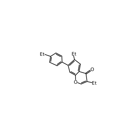 CCc1ccc(-c2cc3occ(CC)c(=O)c3cc2CC)cc1